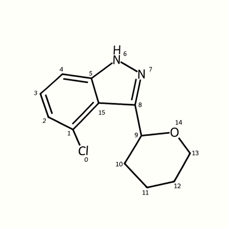 Clc1cccc2[nH]nc(C3CCCCO3)c12